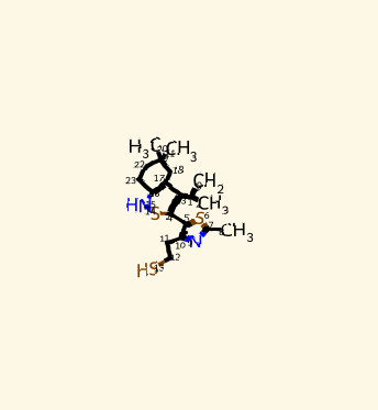 C=C(C)C1=C(c2sc(C)nc2CCS)SNC2=C1CC(C)(C)CC2